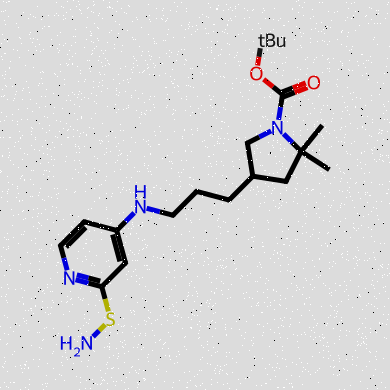 CC(C)(C)OC(=O)N1CC(CCCNc2ccnc(SN)c2)CC1(C)C